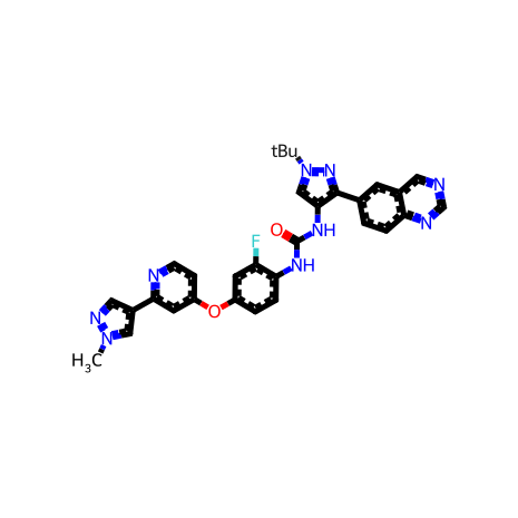 Cn1cc(-c2cc(Oc3ccc(NC(=O)Nc4cn(C(C)(C)C)nc4-c4ccc5ncncc5c4)c(F)c3)ccn2)cn1